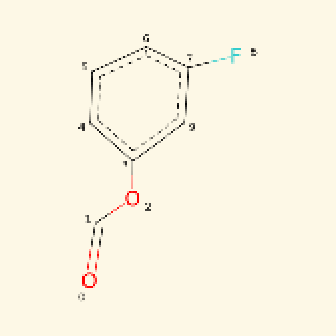 O=COc1cc[c]c(F)c1